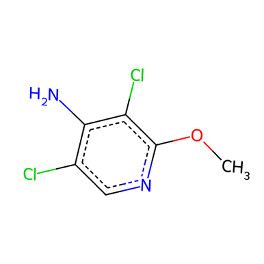 COc1ncc(Cl)c(N)c1Cl